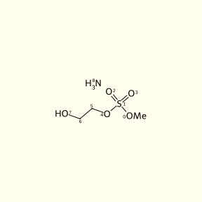 COS(=O)(=O)OCCO.N